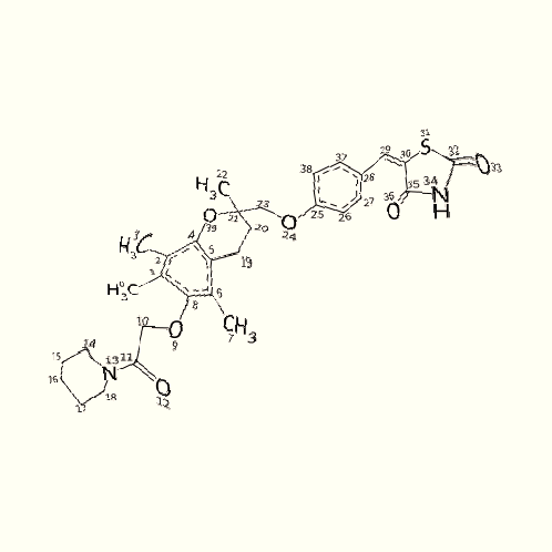 Cc1c(C)c2c(c(C)c1OCC(=O)N1CCCCC1)CCC(C)(COc1ccc(C=C3SC(=O)NC3=O)cc1)O2